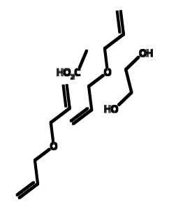 C=CCOCC=C.C=CCOCC=C.CC(=O)O.OCCO